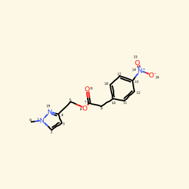 Cn1ccc(COC(=O)Cc2ccc([N+](=O)[O-])cc2)n1